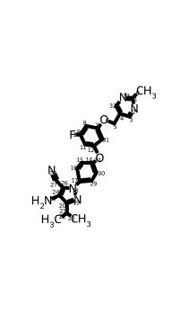 Cc1ncc(COc2cc(F)cc(Oc3ccc(-n4nc(C(C)C)c(N)c4C#N)cc3)c2)cn1